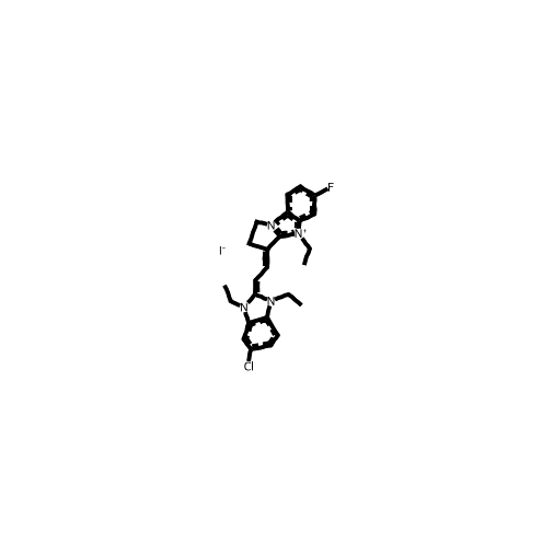 CCN1C(=CC=C2CCn3c2[n+](CC)c2cc(F)ccc23)N(CC)c2cc(Cl)ccc21.[I-]